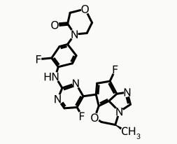 C[C@H]1COc2c(-c3nc(Nc4ccc(N5CCOCC5=O)cc4F)ncc3F)cc(F)c3ncn1c23